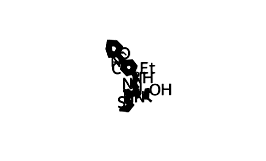 CCOC(=O)N=S(=O)(c1ccccc1)c1ccc(Nc2ncc(-c3cccs3)c(N[C@H](C)CO)n2)cc1